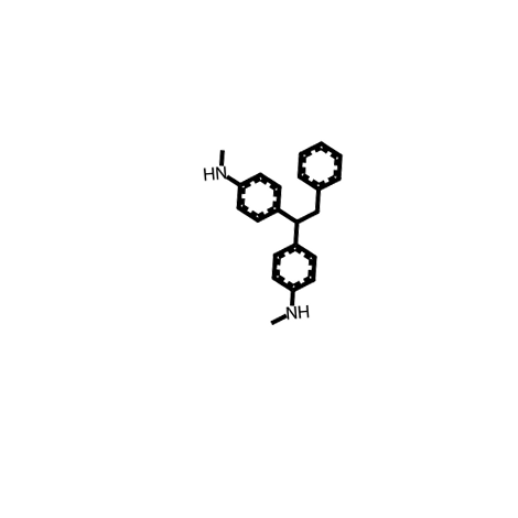 CNc1ccc(C(Cc2ccccc2)c2ccc(NC)cc2)cc1